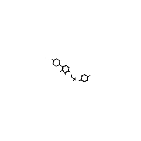 CCCc1ccc(OC(F)(F)COc2ccc(C3CCC(C)CC3)c(F)c2F)cc1